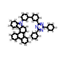 c1ccc(-c2nc(-c3ccccc3)nc(-c3cccc(-c4cccc(-n5c6ccccc6c6c7c8ccccc8c8ccccc8c7ccc65)c4)c3)n2)cc1